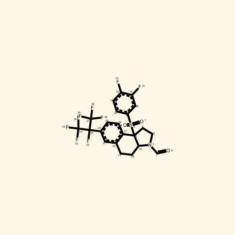 O=CN1CCC2(S(=O)(=O)c3ccc(F)c(F)c3)c3ccc(C(F)(C(F)(F)F)C(F)(F)F)cc3CCC12